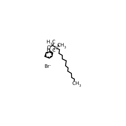 CCCCCCCCCCCC[N+](C)(C)C(C)Oc1ccccc1.[Br-]